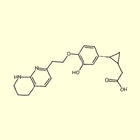 O=C(O)CC1CC1c1ccc(OCCc2ccc3c(n2)NCCC3)c(O)c1